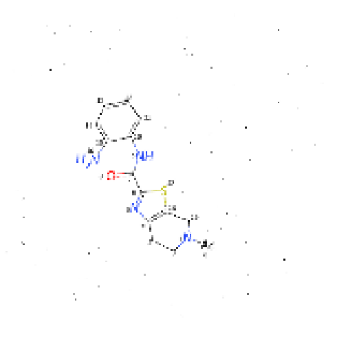 CC(=O)N1CCc2nc(C(=O)Nc3ccccc3N)sc2C1